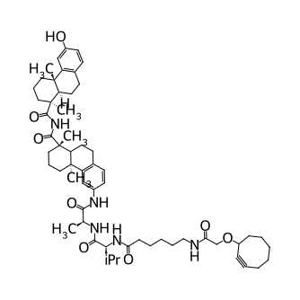 CC(C)[C@H](NC(=O)CCCCCNC(=O)COC1C#CCCCCC1)C(=O)N[C@@H](C)C(=O)Nc1ccc2c(c1)[C@@]1(C)CCC[C@](C)(C(=O)NC(=O)[C@@]3(C)CCC[C@]4(C)c5cc(O)ccc5CC[C@@H]34)C1CC2